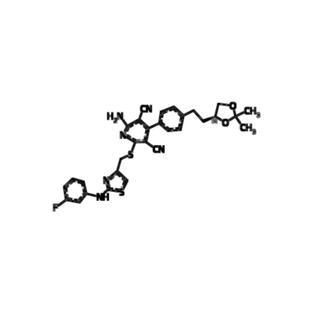 CC1(C)OC[C@H](CCc2ccc(-c3c(C#N)c(N)nc(SCc4csc(Nc5cccc(F)c5)n4)c3C#N)cc2)O1